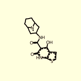 CN1C2CCCC1CC(NC(=O)c1c(O)c3ccsc3[nH]c1=O)C2